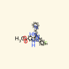 COC(=O)c1ccc2c(c1)[nH]c1nc(Cc3cccc(F)c3)nc(NCCCN3CCCCC3)c12